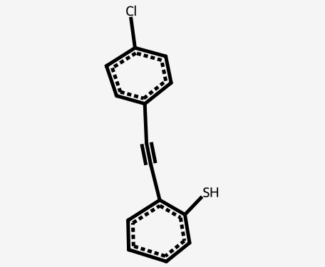 Sc1ccccc1C#Cc1ccc(Cl)cc1